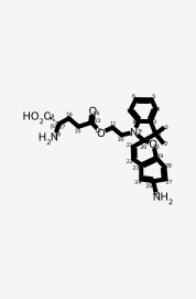 CC1(C)c2ccccc2N(CCOC(=O)CC[C@H](N)C(=O)O)C12C=Cc1cc(N)ccc1O2